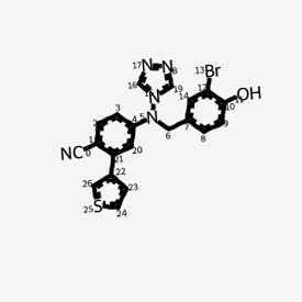 N#Cc1ccc(N(Cc2ccc(O)c(Br)c2)n2cnnc2)cc1-c1ccsc1